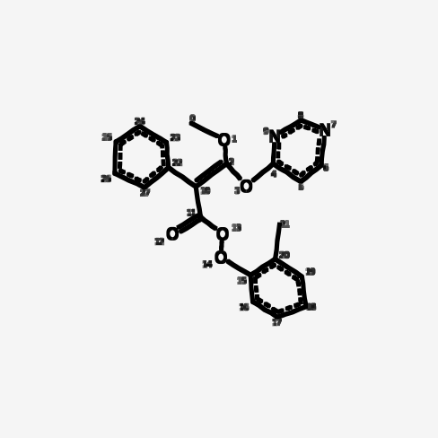 COC(Oc1ccncn1)=C(C(=O)OOc1ccccc1C)c1ccccc1